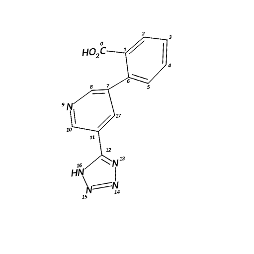 O=C(O)c1ccccc1-c1cncc(-c2nnn[nH]2)c1